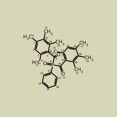 Cc1cc(C)c(C(=O)P(=O)(C(=O)c2c(C)cc(C)c(C)c2C)c2ccccc2)c(C)c1C